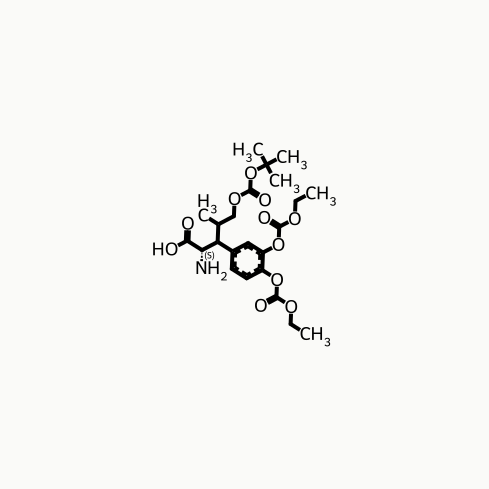 CCOC(=O)Oc1ccc(C(C(C)COC(=O)OC(C)(C)C)[C@H](N)C(=O)O)cc1OC(=O)OCC